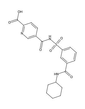 O=C(NC1CCCCC1)c1cccc(S(=O)(=O)NC(=O)c2ccc(C(=O)O)nc2)c1